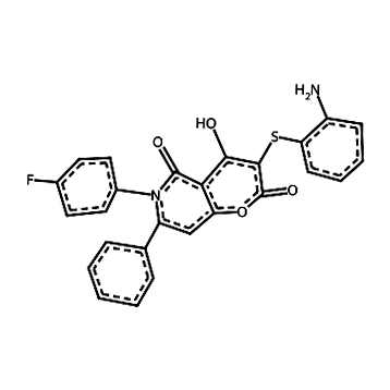 Nc1ccccc1Sc1c(O)c2c(=O)n(-c3ccc(F)cc3)c(-c3ccccc3)cc2oc1=O